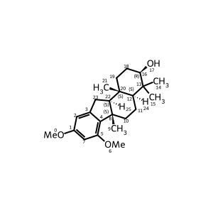 COc1cc2c(c(OC)c1)[C@@]1(C)CC[C@@H]3C(C)(C)[C@H](O)CC[C@@]3(C)[C@@H]1C2